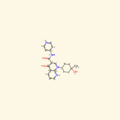 CC1(O)CCC(n2cc(C(=O)Nc3ccncc3)c(=O)c3cccnc32)CC1